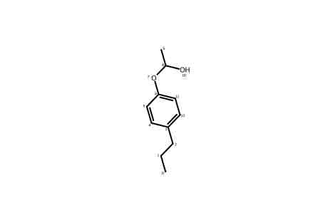 CCCc1ccc(OC(C)O)cc1